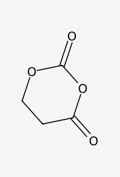 O=C1CCOC(=O)O1